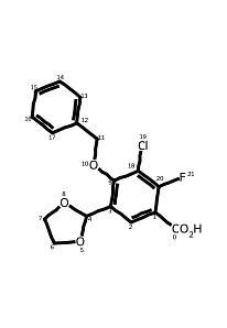 O=C(O)c1cc(C2OCCO2)c(OCc2ccccc2)c(Cl)c1F